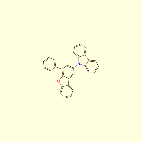 c1ccc(-c2cc(-n3c4ccccc4c4ccccc43)cc3c2oc2ccccc23)cc1